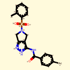 CC(=O)c1ccc(C(=O)Nc2[nH]nc3c2CN(S(=O)(=O)c2ccccc2C)C3)cc1